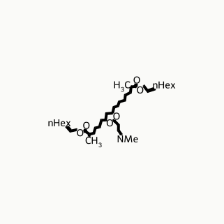 CCCCCC/C=C\COC(=O)C(C)CCCCCCC(CCCCCCC(C)C(=O)OC/C=C\CCCCCC)OC(=O)CCCNC